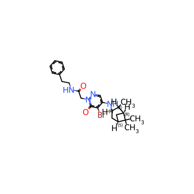 C[C@@H]1[C@H]2C[C@@H](C[C@H]1Nc1cnn(CC(=O)NCCc3ccccc3)c(=O)c1Br)C2(C)C